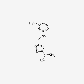 CC(C)c1cc(CNc2nccc(N)n2)on1